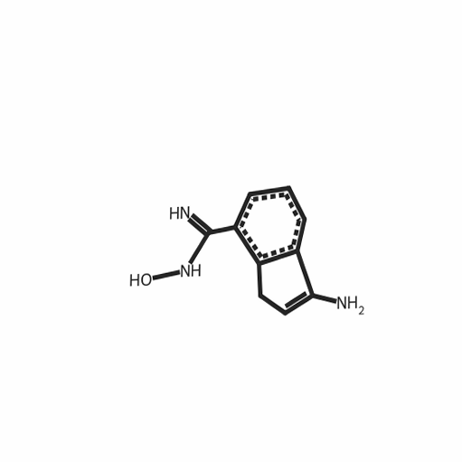 N=C(NO)c1cccc2c1CC=C2N